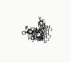 BC(B)(NC(B)(B)C1(F)CC(B)(B)N(C(=O)c2ccc(F)c(Cl)c2)C(B)(B)C1(B)B)c1ncc(C)cn1